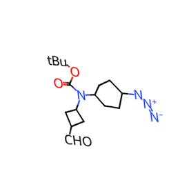 CC(C)(C)OC(=O)N(C1CCC(N=[N+]=[N-])CC1)C1CC(C=O)C1